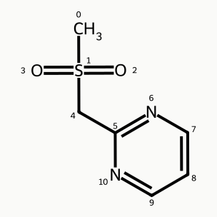 CS(=O)(=O)Cc1ncccn1